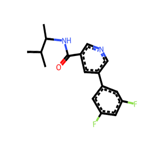 CC(C)C(C)NC(=O)c1cncc(-c2cc(F)cc(F)c2)c1